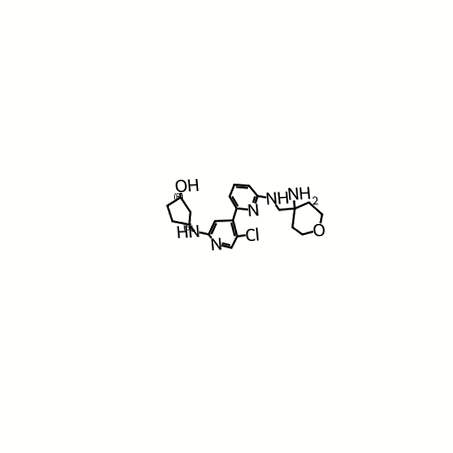 NC1(CNc2cccc(-c3cc(N[C@H]4CC[C@@H](O)C4)ncc3Cl)n2)CCOCC1